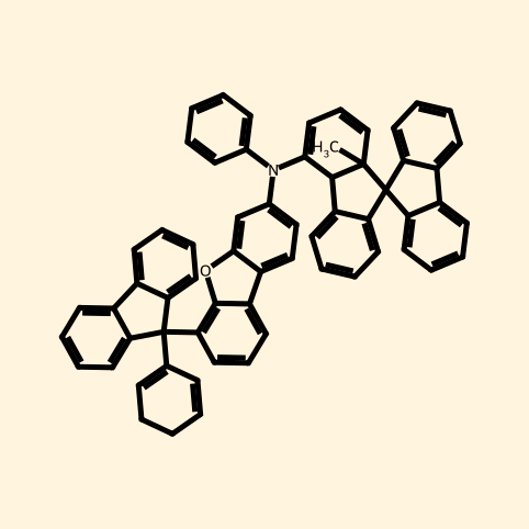 CC12C=CC=C(N(c3ccccc3)c3ccc4c(c3)oc3c(C5(C6=CCCC=C6)c6ccccc6-c6ccccc65)cccc34)C1c1ccccc1C21c2ccccc2-c2ccccc21